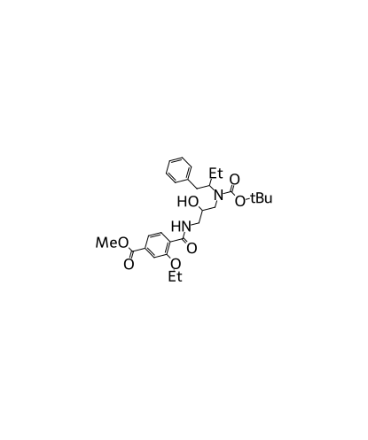 CCOc1cc(C(=O)OC)ccc1C(=O)NCC(O)CN(C(=O)OC(C)(C)C)C(CC)Cc1ccccc1